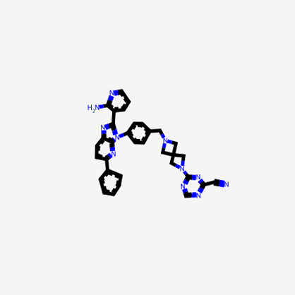 N#Cc1ncnc(N2CC3(CN(Cc4ccc(-n5c(-c6cccnc6N)nc6ccc(-c7ccccc7)nc65)cc4)C3)C2)n1